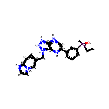 CCP(C)(=O)c1cccc(-c2cnc3nnn(Cc4ccc5nccn5c4)c3n2)c1